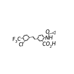 O=C(O)c1cc(C=Cc2ccc(C(F)(F)F)c(Cl)c2)ccc1NC(=O)C1CC1